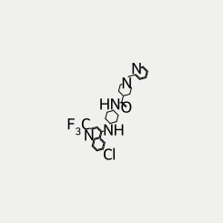 O=C(NC1CCC(Nc2cc(C(F)(F)F)nc3ccc(Cl)cc23)CC1)C1CCN(Cc2ccccn2)CC1